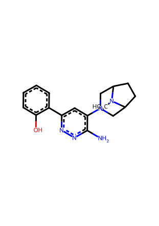 Nc1nnc(-c2ccccc2O)cc1N1CC2CCC(C1)N2C(=O)O